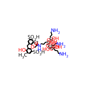 CCc1cc(S(=O)(=O)O)cc(Cc2cc(S(=O)(=O)O)cc(C)c2O)c1OCC(=O)NCCC[Si](O)(O[Si](O)(O)CCCN)O[Si](O)(CCCN)O[Si](O)(O)CCCN